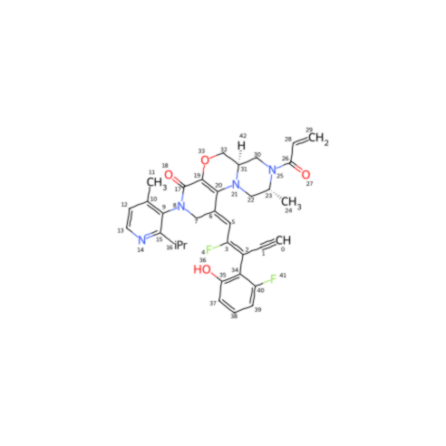 C#C/C(=C(F)\C=C1/CN(c2c(C)ccnc2C(C)C)C(=O)C2=C1N1C[C@@H](C)N(C(=O)C=C)C[C@@H]1CO2)c1c(O)cccc1F